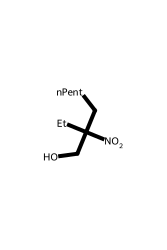 CCCCCCC(CC)(CO)[N+](=O)[O-]